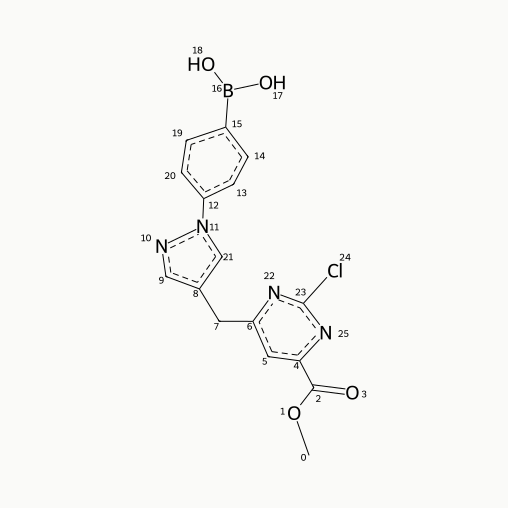 COC(=O)c1cc(Cc2cnn(-c3ccc(B(O)O)cc3)c2)nc(Cl)n1